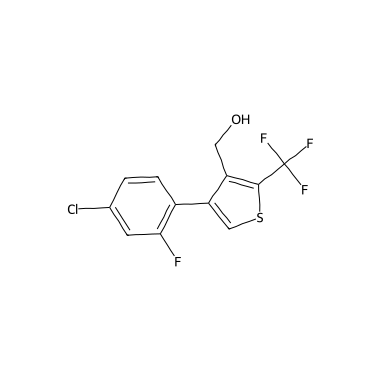 OCc1c(-c2ccc(Cl)cc2F)csc1C(F)(F)F